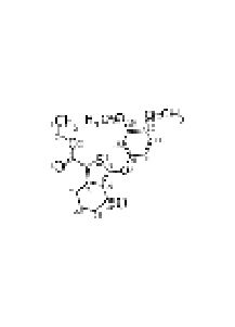 CCOC(=O)c1sc(Oc2ccc(OC)c(OC)c2)c2c1CCCC2=O